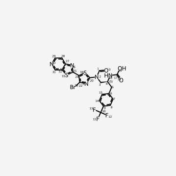 O=CN(C[C@H](Cc1ccc(C(F)(F)F)cc1)NC(=O)O)c1nc(Br)c(-c2nc3ccncc3s2)s1